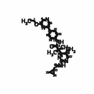 CCOc1cncc(-c2ccc(NC(=O)C(C)(C)c3nc(NSC4CC4)ncc3C)cc2)n1